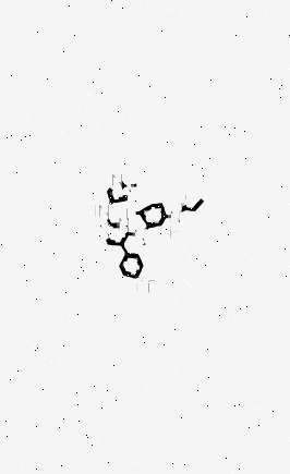 C=CC(=O)Nc1ccc(F)c(N(C)c2nc(Nc3cnn(C)c3)ncc2-c2ccc(C(F)(F)F)cc2)c1